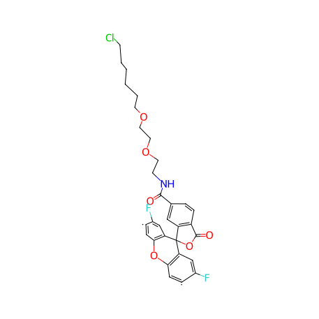 O=C(NCCOCCOCCCCCCCl)c1ccc2c(c1)C1(OC2=O)c2cc(F)[c]cc2Oc2c[c]c(F)cc21